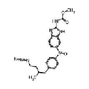 COC(=O)Nc1nc2ccc([S+]([O-])c3ccc(CC(C)CCN=[N+]=[N-])cc3)cc2[nH]1